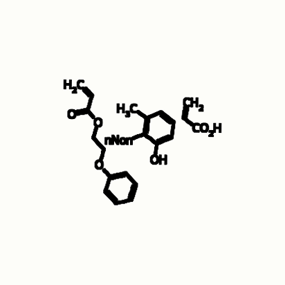 C=CC(=O)O.C=CC(=O)OCCOc1ccccc1.CCCCCCCCCc1c(C)cccc1O